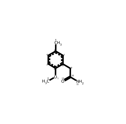 COc1ccc(C)cc1CC(N)=O